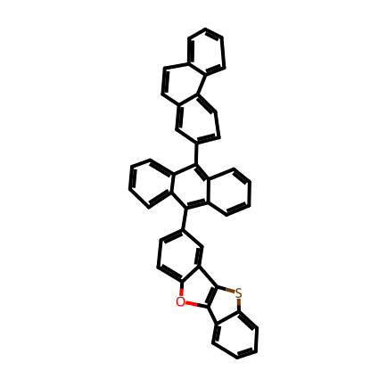 c1ccc2c(c1)ccc1cc(-c3c4ccccc4c(-c4ccc5oc6c7ccccc7sc6c5c4)c4ccccc34)ccc12